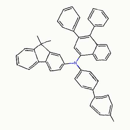 Cc1ccc(-c2ccc(N(c3ccc4c(c3)C(C)(C)c3ccccc3-4)c3cc(-c4ccccc4)c(-c4ccccc4)c4ccccc34)cc2)cc1